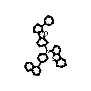 c1ccc(-c2cccc3c2oc2cc(N(c4ccc(-c5cccc6ccccc56)cc4)c4cccc5c4sc4ccccc45)ccc23)cc1